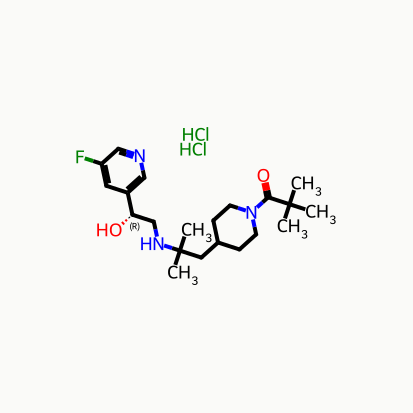 CC(C)(CC1CCN(C(=O)C(C)(C)C)CC1)NC[C@H](O)c1cncc(F)c1.Cl.Cl